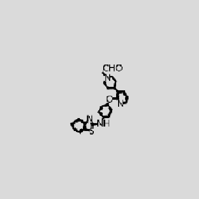 O=CCN1CCC(c2cccnc2Oc2ccc(Nc3nc4ccccc4s3)cc2)CC1